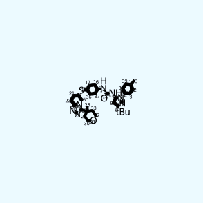 Cc1ccc(-n2nc(C(C)(C)C)cc2NC(=O)Nc2ccc(Sc3ccc4nnc(C5(C)CCOCC5)n4c3)cc2)cc1